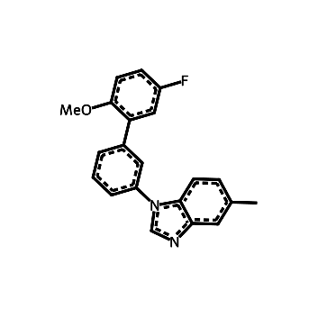 COc1ccc(F)cc1-c1cccc(-n2cnc3cc(C)ccc32)c1